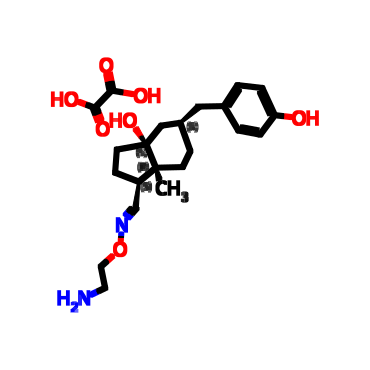 C[C@]12CC[C@H](Cc3ccc(O)cc3)C[C@@]1(O)CC[C@@H]2C=NOCCN.O=C(O)C(=O)O